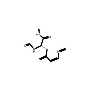 C=N/C=C\C(=C)C[C@H](NC=O)C(=O)NC